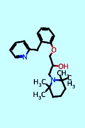 CC1(C)CCCC(C)(C)N1CC(O)COc1ccccc1Cc1ccccn1